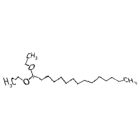 CCCCCCCCCCCCCC[C](OCC)OCC